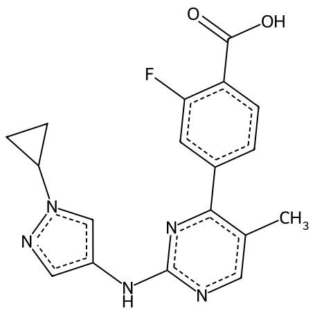 Cc1cnc(Nc2cnn(C3CC3)c2)nc1-c1ccc(C(=O)O)c(F)c1